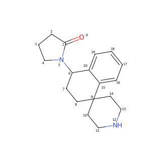 O=C1CCCN1C1CCC2(CCNCC2)c2ccccc21